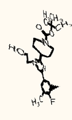 Cc1cc(-c2cn(CCO)c(C3CCN(C(=O)OC(C)(C)C)CC3)n2)ccc1F